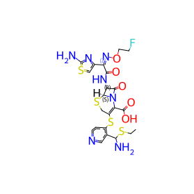 CCSC(N)c1cnccc1SC1=C(C(=O)O)N2C(=O)[C@@H](NC(=O)/C(=N\OCCF)c3csc(N)n3)[C@@H]2SC1